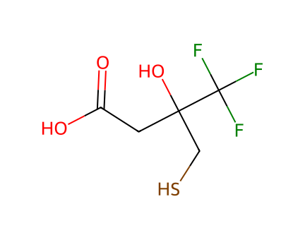 O=C(O)CC(O)(CS)C(F)(F)F